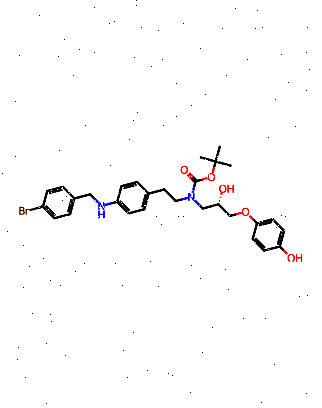 CC(C)(C)OC(=O)N(CCc1ccc(NCc2ccc(Br)cc2)cc1)C[C@H](O)COc1ccc(O)cc1